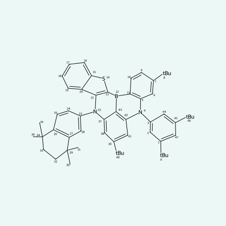 CC(C)(C)c1cc(N2c3cc(C(C)(C)C)ccc3B3c4sc5ccccc5c4N(c4ccc5c(c4)C(C)(C)CCC5(C)C)c4cc(C(C)(C)C)cc2c43)cc(C(C)(C)C)c1